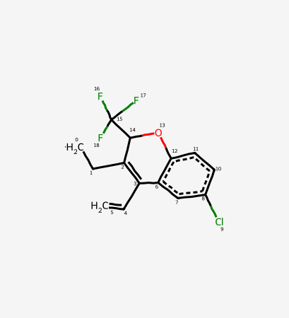 [CH2]CC1=C(C=C)c2cc(Cl)ccc2OC1C(F)(F)F